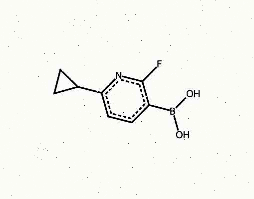 OB(O)c1ccc(C2CC2)nc1F